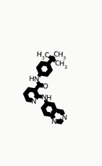 CC(C)(C)c1ccc(NC(=O)c2cccnc2Nc2ccc3ncncc3c2)cc1